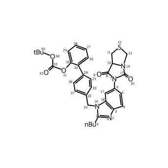 CCCCc1nc2ccc(N3C(=O)C4CSCN4C3=O)cc2n1Cc1ccc(-c2ccccc2OC(=O)OC(C)(C)C)cc1